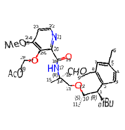 CCC(C)[C@H](c1ccc(C)cc1C)[C@H](C)OC[C@](C)(C=O)NC(=O)c1nccc(OC)c1OCOC(C)=O